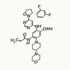 C=CC(=O)Nc1cc(Nc2cc(N3OCC[C@@H]3c3ccc(F)cc3F)ncn2)c(OC)cc1N1CCC(N2CCOCC2)CC1